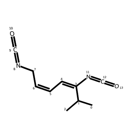 CC(C)/C(=C\C=C/CN=C=O)N=C=O